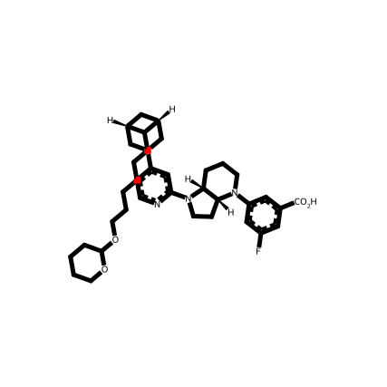 O=C(O)c1cc(F)cc(N2CCC[C@@H]3[C@H]2CCN3c2cc(N3C[C@H]4C[C@@H](C3)C4CCCCCCOC3CCCCO3)ccn2)c1